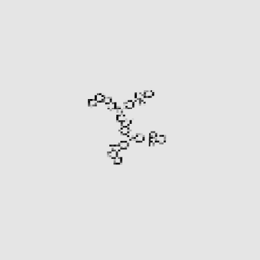 CC1(C)c2cc(N(c3ccc(-c4nc5ccccc5o4)cc3)c3ccc4c(c3)C(C)(C)c3ccc5ccccc5c3-4)ccc2-c2ccc(N(c3ccc(-c4nc5ccccc5o4)cc3)c3ccc4c(c3)C(C)(C)c3ccc5ccccc5c3-4)cc21